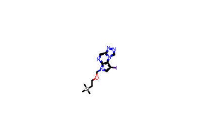 C[Si](C)(C)CCOCn1cc(I)c2c1ncc1nncn12